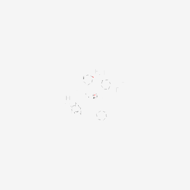 C[C@@H](OC[C@@]1(c2ccccc2)CC[C@](O)(n2cn[nH]c2=O)CN1C(=O)OCc1ccccc1)c1cc(C(F)(F)F)cc(C(F)(F)F)c1